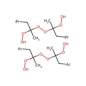 CC(=O)CC(C)(OO)OOC(C)(CC(C)=O)OO.CC(C)CC(C)(OO)OOC(C)(CC(C)C)OO